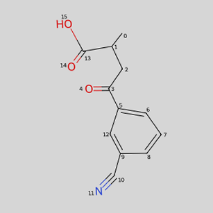 CC(CC(=O)c1cccc(C#N)c1)C(=O)O